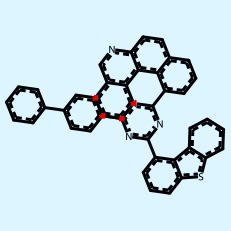 c1ccc(-c2ccc(-c3nc(-c4cccc5sc6ccccc6c45)nc(-c4cccc5ccc6ncc7ccccc7c6c45)n3)cc2)cc1